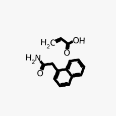 C=CC(=O)O.NC(=O)Cc1cccc2ccccc12